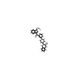 Cn1cc(C(=O)c2cc(N3CCC(N4Cc5ccccc5CC4=O)CC3)ncn2)c2ccccc21